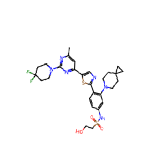 Cc1cc(-c2cnc(-c3ccc(NS(=O)(=O)CCO)cc3N3CCC4(CC3)CC4)s2)nc(N2CCC(F)(F)CC2)n1